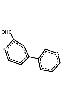 O=Cc1cc(-c2cccnc2)ccn1